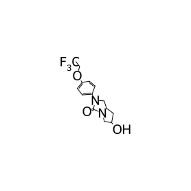 O=C1N(c2ccc(OCC(F)(F)F)cc2)CC2CC(O)CN12